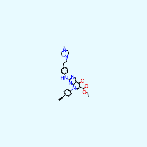 C#Cc1ccc(-n2cc(C(=O)OCC)c(=O)c3cnc(Nc4ccc(CCN5CCN(C)CC5)cc4)nc32)cc1